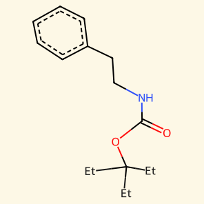 CCC(CC)(CC)OC(=O)NCCc1ccccc1